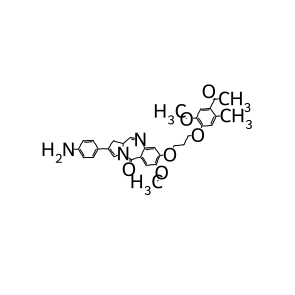 COc1cc(C(C)=O)c(C)cc1OCCCOc1cc2c(cc1OC)C(=O)N1C=C(c3ccc(N)cc3)CC1C=N2